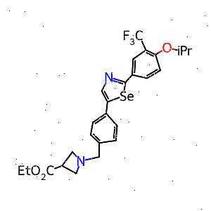 CCOC(=O)C1CN(Cc2ccc(-c3cnc(-c4ccc(OC(C)C)c(C(F)(F)F)c4)[se]3)cc2)C1